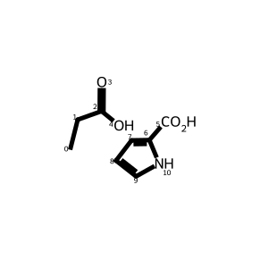 CCC(=O)O.O=C(O)c1ccc[nH]1